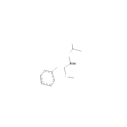 CCOC(=O)N[C@H](Cc1ccccc1)C(=O)OC(C)I